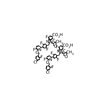 CC1(C)COCC1n1c(Cc2cc(F)c(-c3ccc(F)c(OCc4ccc(Cl)cc4F)n3)cc2F)nc2c(F)cc(C(=O)O)cc21.CC1(C)COCC1n1c(Cc2cc(F)c(-c3ccc(F)c(OCc4ccc(Cl)cc4F)n3)cc2F)nc2c(F)cc(C(=O)O)cc21